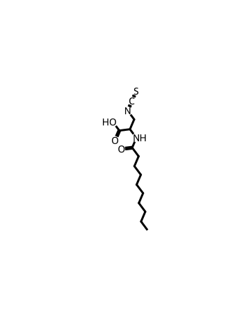 CCCCCCCCCC(=O)NC(CN=C=S)C(=O)O